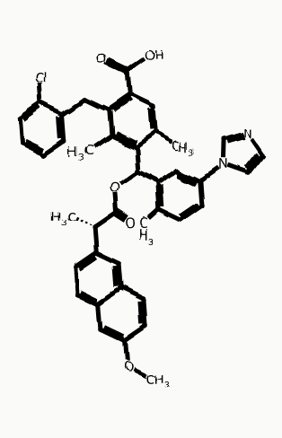 COc1ccc2cc([C@H](C)C(=O)OC(c3cc(-n4ccnc4)ccc3C)c3c(C)cc(C(=O)O)c(Cc4ccccc4Cl)c3C)ccc2c1